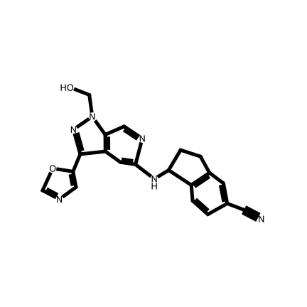 N#Cc1ccc2c(c1)CCC2Nc1cc2c(-c3cnco3)nn(CO)c2cn1